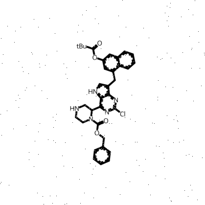 CC(C)(C)C(=O)Oc1cc(Cc2c[nH]c3c(C4CNCCN4C(=O)OCc4ccccc4)nc(Cl)nc23)c2ccccc2c1